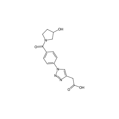 O=C(O)Cc1cn(-c2ccc(C(=O)N3CCC(O)C3)cc2)nn1